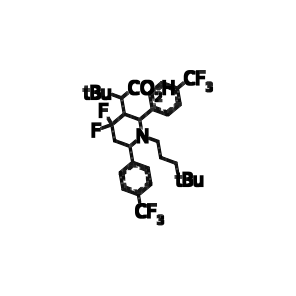 CC(C)(C)CCCN1C(c2ccc(C(F)(F)F)cc2)CC(F)(F)C(C(C(=O)O)C(C)(C)C)C1c1ccc(C(F)(F)F)cc1